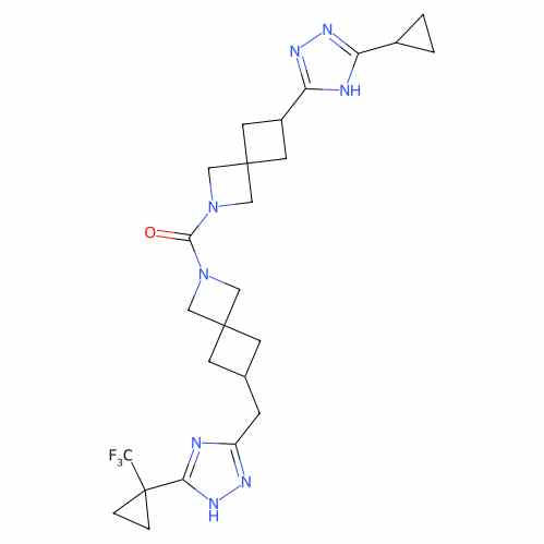 O=C(N1CC2(CC(Cc3n[nH]c(C4(C(F)(F)F)CC4)n3)C2)C1)N1CC2(CC(c3nnc(C4CC4)[nH]3)C2)C1